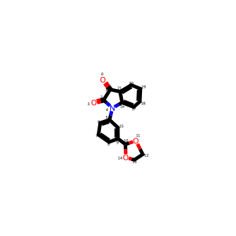 O=C1C(=O)N(c2cccc(C3OCCO3)c2)c2ccccc21